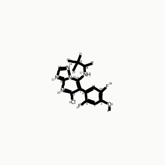 COc1cc(F)c(-c2c(Cl)nc3ncnn3c2NC(C)C(C)(C)C)cc1F